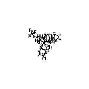 CC(C)(Oc1ccc(Cl)cc1Cl)C(=O)NC1CC2CCC1N2c1ncc(C(=O)NCC(F)(F)F)cc1F